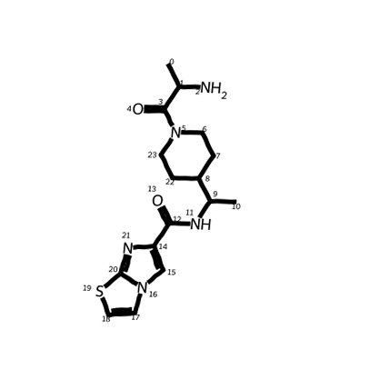 CC(N)C(=O)N1CCC(C(C)NC(=O)c2cn3ccsc3n2)CC1